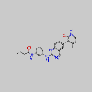 C/C=C/C(=O)Nc1cccc(Nc2ncc3cc(-c4c(C)cc[nH]c4=O)ccc3n2)c1